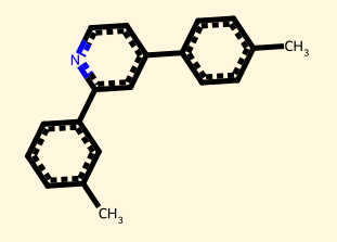 Cc1ccc(-c2ccnc(-c3cccc(C)c3)c2)cc1